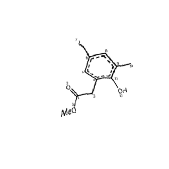 COC(=O)Cc1cc(I)cc(C)c1O